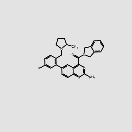 CC1CCCN1Cc1ccc(F)cc1-c1ccc2nc(N)nc(C(=O)N3Cc4ccccc4C3)c2c1